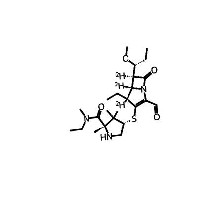 [2H][C@]12N(C(=O)[C@]1([2H])[C@@H](CC)OC)C(C=O)=C(S[C@@H]1CN[C@](C)(C(=O)N(C)CC)C1(C)C)[C@]2([2H])CC